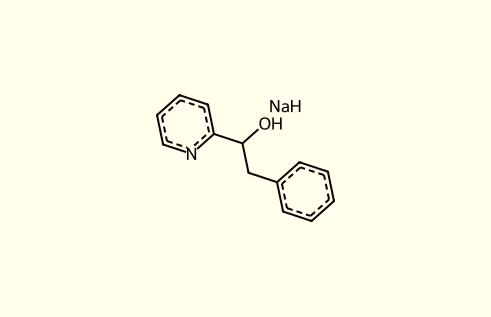 OC(Cc1ccccc1)c1ccccn1.[NaH]